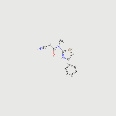 CN(C(=O)CC#N)c1nc(-c2ccccc2)cs1